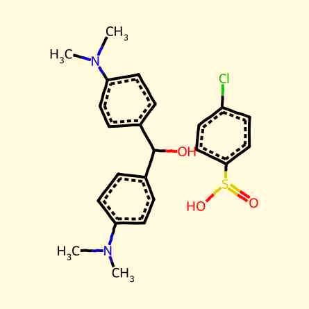 CN(C)c1ccc(C(O)c2ccc(N(C)C)cc2)cc1.O=S(O)c1ccc(Cl)cc1